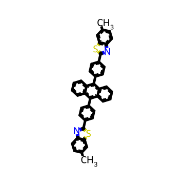 Cc1ccc2nc(-c3ccc(-c4c5ccccc5c(-c5ccc(-c6nc7ccc(C)cc7s6)cc5)c5ccccc45)cc3)sc2c1